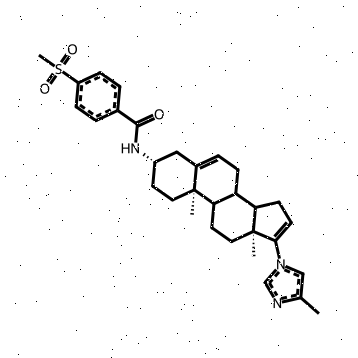 Cc1cn(C2=CCC3C4CC=C5C[C@@H](NC(=O)c6ccc(S(C)(=O)=O)cc6)CC[C@]5(C)C4CC[C@]23C)cn1